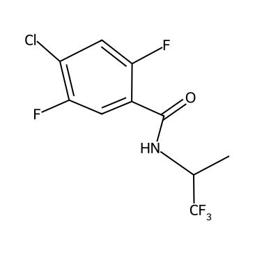 CC(NC(=O)c1cc(F)c(Cl)cc1F)C(F)(F)F